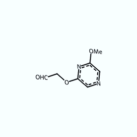 COc1cncc(OCC=O)n1